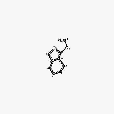 [SiH3]Oc1occ2ccccc12